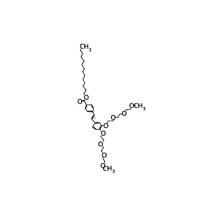 CCCCCCCCCCCCCCOC(=O)c1ccc(/C=C/c2ccc(OCCOCCOCCOC)c(OCCOCCOCCOC)c2)cc1